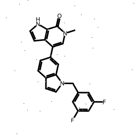 Cn1cc(-c2ccc3ccn(Cc4cc(F)cc(F)c4)c3c2)c2cc[nH]c2c1=O